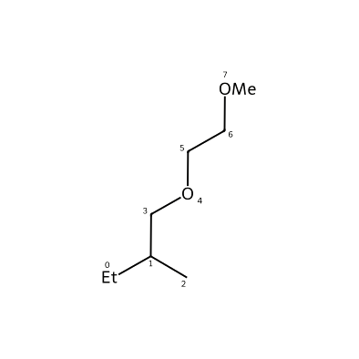 CCC(C)COCCOC